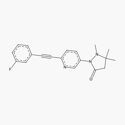 CN1N(c2ccc(C#Cc3cccc(F)c3)nc2)C(=O)CC1(C)C